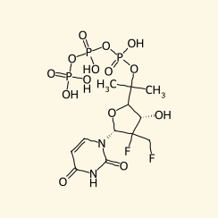 CC(C)(OP(=O)(O)OP(=O)(O)OP(=O)(O)O)C1O[C@@H](n2ccc(=O)[nH]c2=O)C(F)(CF)[C@H]1O